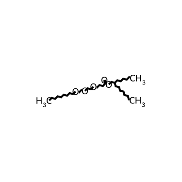 CCCCCCCCCOCCOCCOCCCC(=O)OCC(CCCCCC)CCCCCCCC